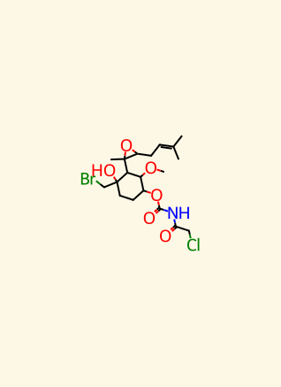 COC1C(OC(=O)NC(=O)CCl)CCC(O)(CBr)C1C1(C)OC1CC=C(C)C